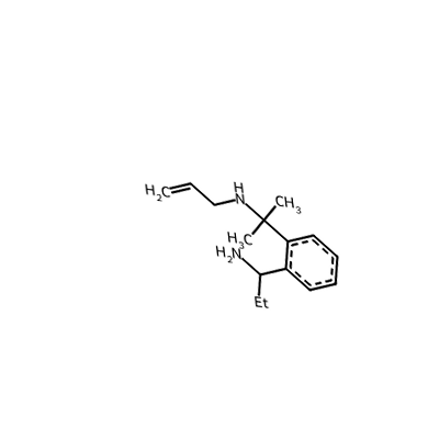 C=CCNC(C)(C)c1ccccc1C(N)CC